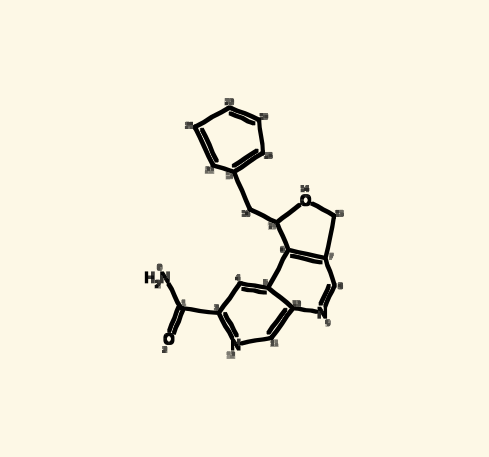 NC(=O)c1cc2c3c(cnc2cn1)COC3Cc1ccccc1